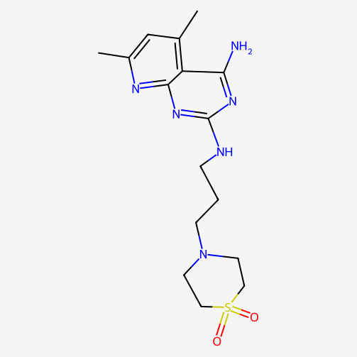 Cc1cc(C)c2c(N)nc(NCCCN3CCS(=O)(=O)CC3)nc2n1